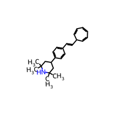 CC1(C)CC(c2ccc(/C=C/C3C=CC=CC=C3)cc2)CC(C)(C)N1